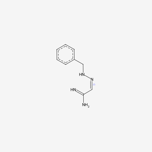 N=C(N)/C=N\NCc1ccccc1